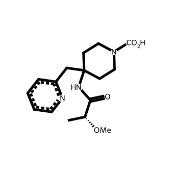 CO[C@H](C)C(=O)NC1(Cc2ccccn2)CCN(C(=O)O)CC1